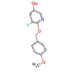 COc1ccc(COc2ncc(O)cc2F)cc1